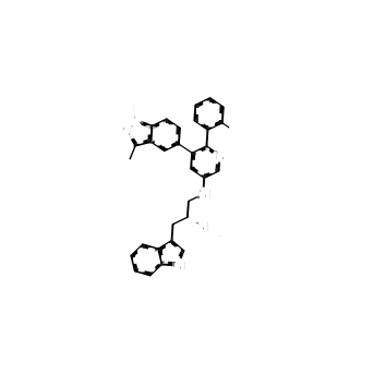 Cc1n[nH]c2ccc(-c3cc(NC[C@H](N)Cc4c[nH]c5ccccc45)cnc3-c3ccccc3O)cc12